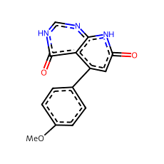 COc1ccc(-c2cc(=O)[nH]c3nc[nH]c(=O)c23)cc1